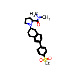 CCS(=O)(=O)c1ccc(-c2ccc3c(c2)CCC(N2CCCC2C(=O)N(C)C)C3)cc1